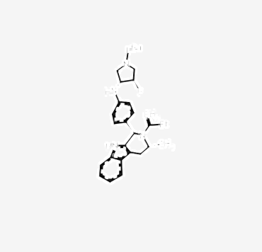 C=C(CC)N1[C@H](c2ccc(N[C@@H]3CN(CCCC)C[C@H]3F)cc2)c2[nH]c3ccccc3c2C[C@H]1C